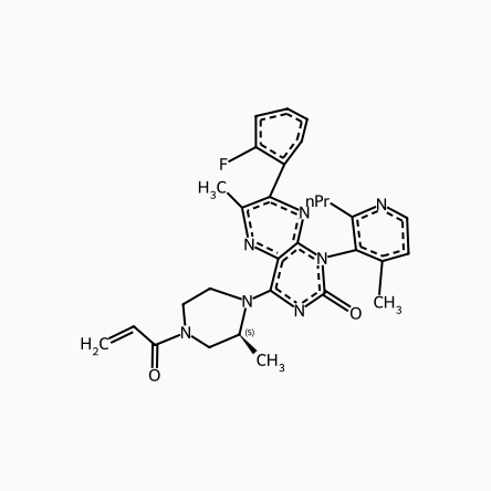 C=CC(=O)N1CCN(c2nc(=O)n(-c3c(C)ccnc3CCC)c3nc(-c4ccccc4F)c(C)nc23)[C@@H](C)C1